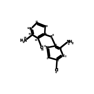 Nc1nc(Cl)cnc1Sc1ccnc(N)c1Cl